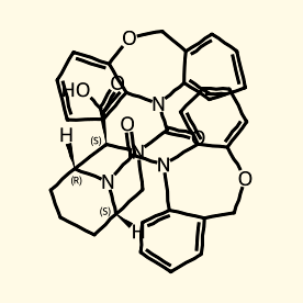 O=C(O)[C@@H]1[C@H]2CCC[C@@H](CN1C(=O)N1c3ccccc3COc3ccccc31)N2C(=O)N1c2ccccc2COc2ccccc21